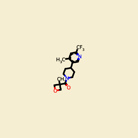 Cc1cc(C(F)(F)F)ncc1C1CCN(C(=O)C2(C)COC2)CC1